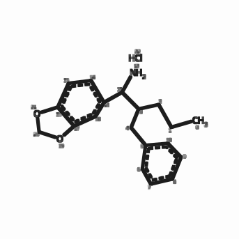 CCCC(Cc1ccccc1)C(N)c1ccc2c(c1)OCO2.Cl